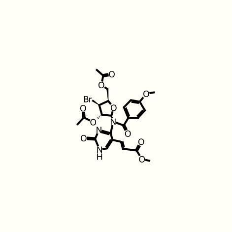 COC(=O)C=Cc1c[nH]c(=O)nc1N(C(=O)c1ccc(OC)cc1)[C@@H]1O[C@H](COC(C)=O)[C@H](Br)[C@H]1OC(C)=O